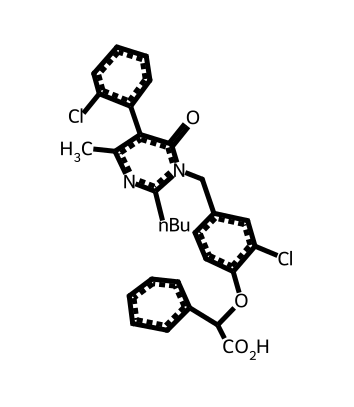 CCCCc1nc(C)c(-c2ccccc2Cl)c(=O)n1Cc1ccc(OC(C(=O)O)c2ccccc2)c(Cl)c1